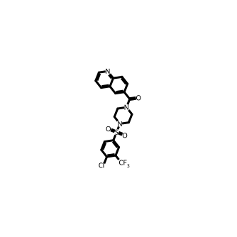 O=C(c1ccc2ncccc2c1)N1CCN(S(=O)(=O)c2ccc(Cl)c(C(F)(F)F)c2)CC1